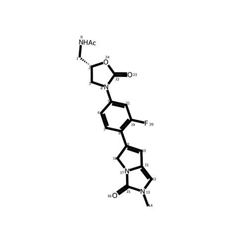 CC(=O)NC[C@H]1CN(c2ccc(C3=Cc4cn(C)c(=O)n4C3)c(F)c2)C(=O)O1